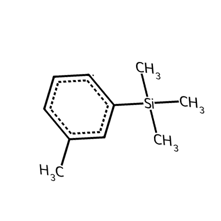 Cc1cc[c]c([Si](C)(C)C)c1